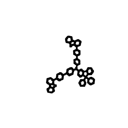 c1ccc(C2(c3ccccc3)c3ccccc3-c3cc(N(c4ccc(-c5ccc(-c6cccc7c6oc6ccccc67)cc5)cc4)c4ccc(-c5ccc(-c6cccc7c6oc6ccccc67)cc5)cc4)ccc32)cc1